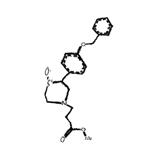 CC(C)(C)OC(=O)CCN1CC[S+]([O-])C(c2ccc(OCc3ccccc3)cc2)C1